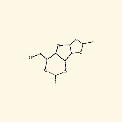 CC1OC2OC3C(CCl)OC(C)OC3C2O1